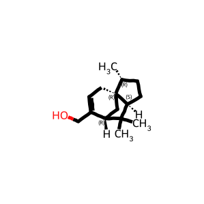 C[C@@H]1CC[C@H]2C(C)(C)[C@H]3C[C@@]12CC=C3CO